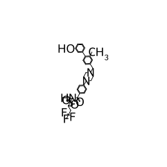 Cc1cc(CN2CCN(c3ccc(C(=O)NS(=O)(=O)CCC(F)(F)F)cc3)CC2)ccc1-c1cccc(O)c1